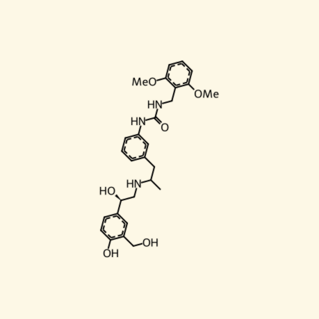 COc1cccc(OC)c1CNC(=O)Nc1cccc(CC(C)NC[C@H](O)c2ccc(O)c(CO)c2)c1